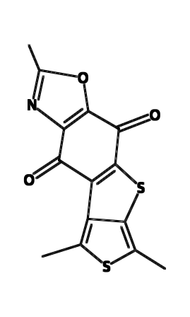 Cc1nc2c(o1)C(=O)c1sc3c(C)sc(C)c3c1C2=O